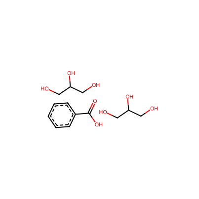 O=C(O)c1ccccc1.OCC(O)CO.OCC(O)CO